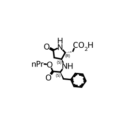 CCCOC(=O)[C@H](Cc1ccccc1)N[C@H]1CC(=O)N[C@@H]1CC(=O)O